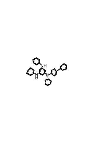 c1ccc(Nc2cc(Nc3ccccc3)cc(N(c3ccccc3)c3ccc(-c4ccccc4)cc3)c2)cc1